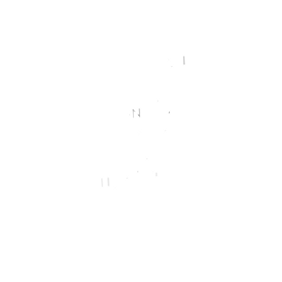 CCCc1ccc(C2CC2C)cn1